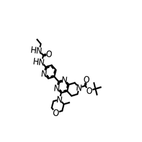 CCNC(=O)Nc1ccc(-c2nc3c(c(N4CCOCC4C)n2)CCN(C(=O)OC(C)(C)C)C3)cn1